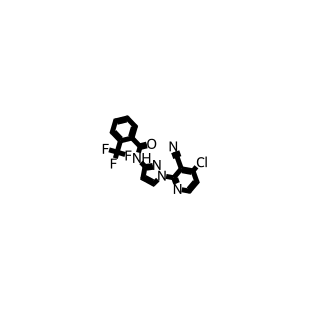 N#Cc1c(Cl)ccnc1-n1ccc(NC(=O)c2ccccc2C(F)(F)F)n1